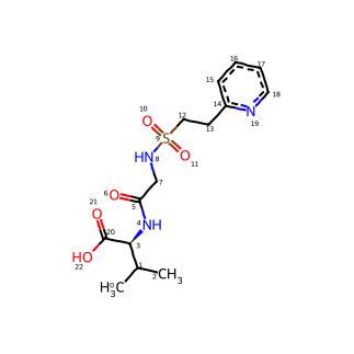 CC(C)[C@H](NC(=O)CNS(=O)(=O)CCc1ccccn1)C(=O)O